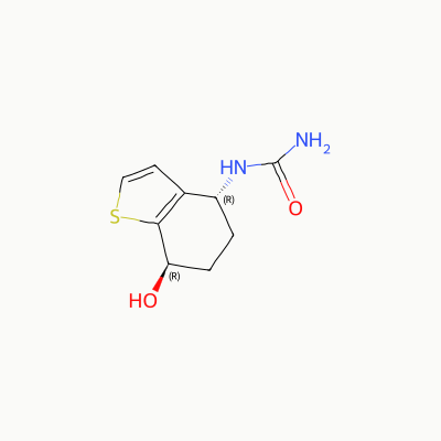 NC(=O)N[C@@H]1CC[C@@H](O)c2sccc21